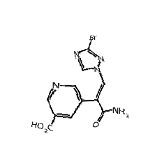 NC(=O)/C(=C/n1cnc(Br)n1)c1cncc(C(=O)O)c1